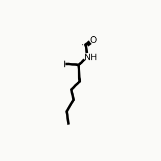 CCCCCC(I)N[C]=O